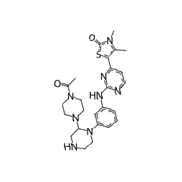 CC(=O)N1CCN(C2CNCCN2c2cccc(Nc3nccc(-c4sc(=O)n(C)c4C)n3)c2)CC1